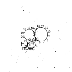 CCCCCCCCCCCC(CN)N1CCCCCCCCCC2CCCCCCCCC21